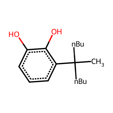 CCCCC(C)(CCCC)c1cccc(O)c1O